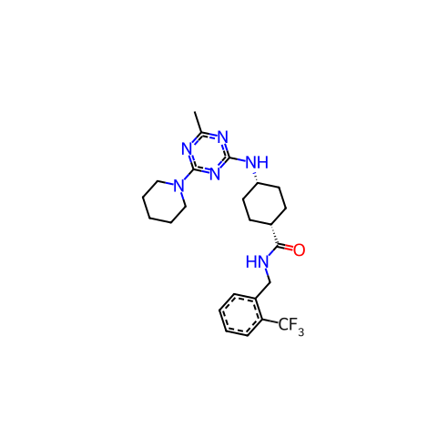 Cc1nc(N[C@H]2CC[C@@H](C(=O)NCc3ccccc3C(F)(F)F)CC2)nc(N2CCCCC2)n1